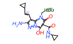 CC(C)(C)Cn1c(=O)c(C(=O)NC2CC2)c(O)n2nc(N)c(/C=C/C3CC3)c12.Cl